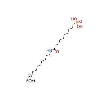 CCCCCCCC/C=C/CCCCCCCCNC(=O)CCCCCCCCCP(=O)(O)O